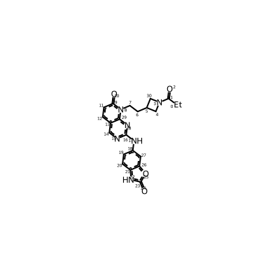 CCC(=O)N1CC(CCn2c(=O)ccc3cnc(Nc4ccc5[nH]c(=O)oc5c4)nc32)C1